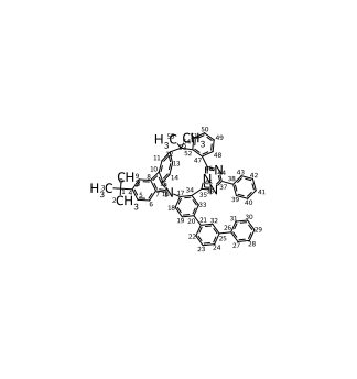 CC(C)(C)c1ccc2c(c1)c1cc3ccc1n2-c1ccc(-c2cccc(-c4ccccc4)c2)cc1-c1nc(-c2ccccc2)nc(n1)-c1ccccc1C3(C)C